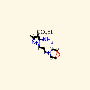 CCOC(=O)c1c(C)nn(CCCN2CCOCC2)c1N